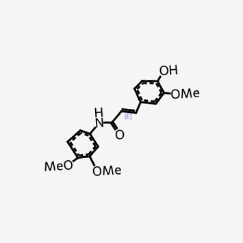 COc1cc(/C=C/C(=O)Nc2ccc(OC)c(OC)c2)ccc1O